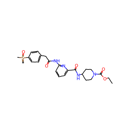 C=S(C)(=O)c1ccc(CC(=O)Nc2cccc(C(=O)NC3CCN(C(=O)OCC)CC3)n2)cc1